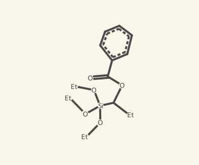 CCO[Si](OCC)(OCC)C(CC)OC(=O)c1ccccc1